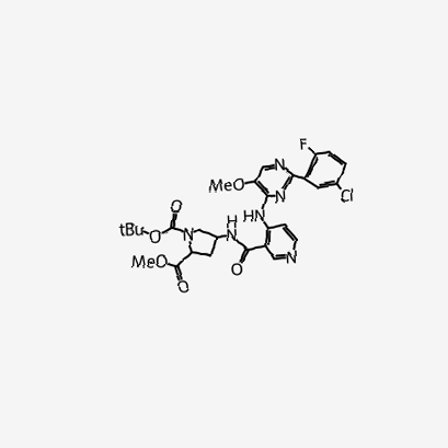 COC(=O)C1CC(NC(=O)c2cnccc2Nc2nc(-c3cc(Cl)ccc3F)ncc2OC)CN1C(=O)OC(C)(C)C